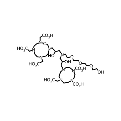 O=C(O)CN1CCN(CC(=O)O)CCN(CC(O)CN(CCOCCOCCOCCO)CC(O)CN2CCN(CC(=O)O)CCN(C(=O)O)CCN(C(=O)O)CC2)CCN(CC(=O)O)CC1